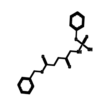 O=C(CCC(=O)OCc1ccccc1)CNP(=O)(O)Oc1ccccc1